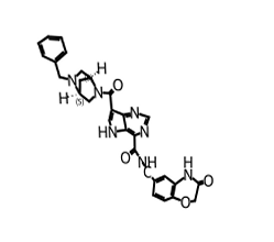 O=C1COc2ccc(CNC(=O)c3ncnc4c(C(=O)N5C[C@@H]6C[C@H]5CN6Cc5ccccc5)c[nH]c34)cc2N1